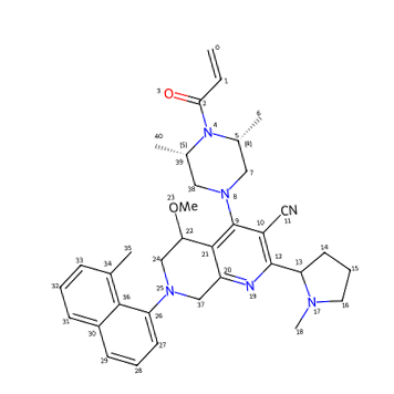 C=CC(=O)N1[C@H](C)CN(c2c(C#N)c(C3CCCN3C)nc3c2C(OC)CN(c2cccc4cccc(C)c24)C3)C[C@@H]1C